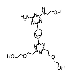 Nc1nc(NCCO)nc(C2CC3CC2CC3c2nc(CCOCCO)nc(CCOCCO)n2)n1